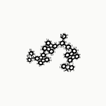 CC1(C)c2ccccc2N(c2ccc3c(c2)-c2ccccc2C32c3ccccc3-c3c(-c4ccc(-c5cc(-c6cccnc6)cc(-c6ccc7c(c6)-c6ccccc6C76c7ccccc7-c7c(-c8ccc9c(c8)-c8cc(N%10c%11ccccc%11Oc%11ccccc%11%10)ccc8C98c9ccccc9-c9ccccc98)cccc76)c5)cn4)cccc32)c2ccccc21